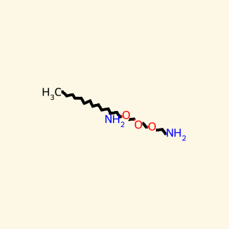 CCCCCCCCCCCCC(N)CCOCCOCCOCCCN